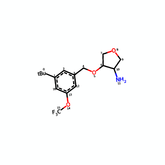 CC(C)(C)c1cc(COC2COCC2N)cc(OC(F)(F)F)c1